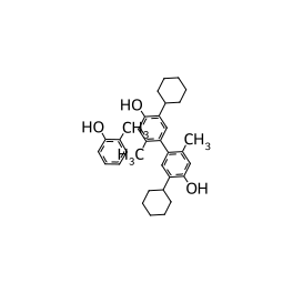 Cc1cc(O)c(C2CCCCC2)cc1-c1cc(C2CCCCC2)c(O)cc1C.Cc1ccccc1O